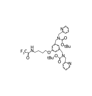 CC(C)(C)OC(=O)N(Cc1cc(CN(Cc2ccccn2)C(=O)OC(C)(C)C)cc(OCCCCNC(=O)C(F)(F)F)c1)Cc1ccccn1